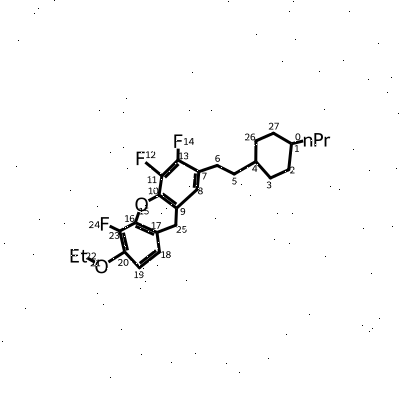 CCCC1CCC(CCc2cc3c(c(F)c2F)Oc2c(ccc(OCC)c2F)C3)CC1